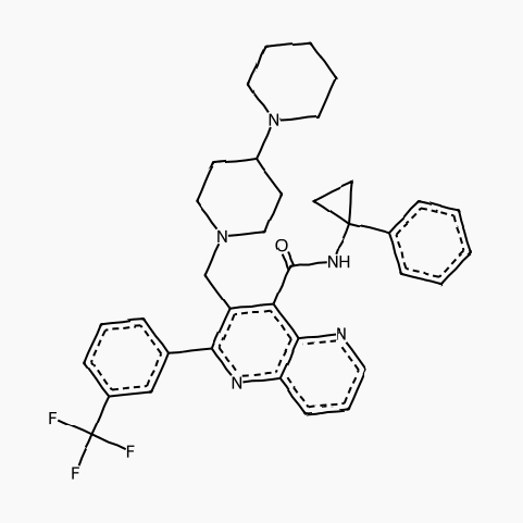 O=C(NC1(c2ccccc2)CC1)c1c(CN2CCC(N3CCCCC3)CC2)c(-c2cccc(C(F)(F)F)c2)nc2cccnc12